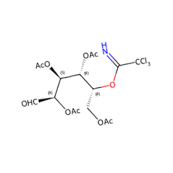 CC(=O)OC[C@@H](OC(=N)C(Cl)(Cl)Cl)[C@@H](OC(C)=O)[C@H](OC(C)=O)[C@H](C=O)OC(C)=O